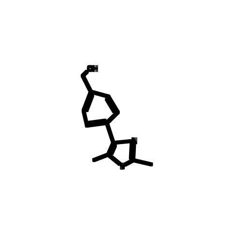 Cc1nc(-c2ccc(CO)cc2)c(C)s1